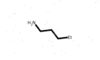 CCCC[C]N